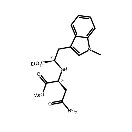 CCOC(=O)[C@@H](Cc1cn(C)c2ccccc12)N[C@@H](CC(N)=O)C(=O)OC